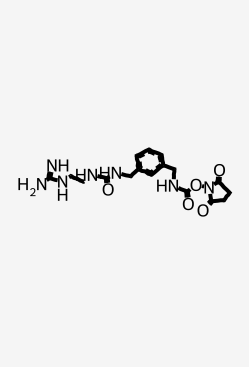 N=C(N)NCCNC(=O)NCc1cccc(CNC(=O)ON2C(=O)CCC2=O)c1